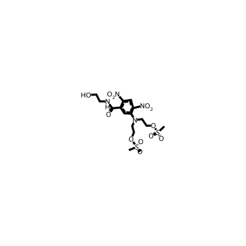 CS(=O)(=O)OCCN(CCOS(C)(=O)=O)c1cc(C(=O)NCCO)c([N+](=O)[O-])cc1[N+](=O)[O-]